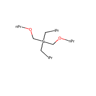 CCCOC[Si](COCCC)(CC(C)C)CC(C)C